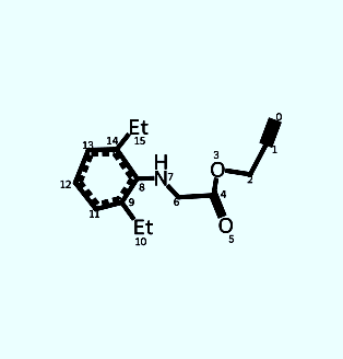 C#CCOC(=O)CNc1c(CC)cccc1CC